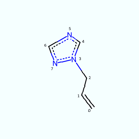 C=CCn1cncn1